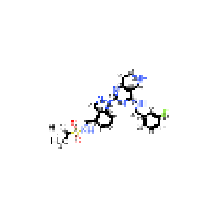 CC(C)S(=O)(=O)NCc1cccc2c1cnn2-c1nc2c(c(NCc3cccc(F)c3)n1)CNCC2